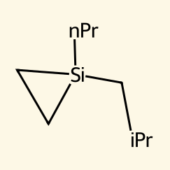 CCC[Si]1(CC(C)C)CC1